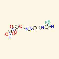 N#Cc1ccc(N2CCC(c3ccc(N4CCN(CCCOc5ccc6c(c5)C(=O)N(C5CCC(=O)NC5=O)C6=O)CC4)cc3)CC2)cc1C(F)(F)F